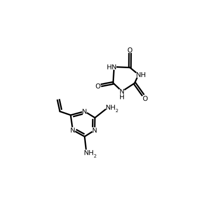 C=Cc1nc(N)nc(N)n1.O=c1[nH]c(=O)[nH]c(=O)[nH]1